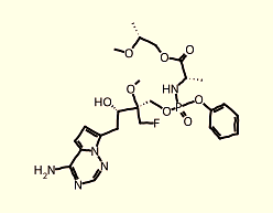 CO[C@H](C)COC(=O)[C@H](C)NP(=O)(OC[C@@](CF)(OC)[C@@H](O)Cc1ccc2c(N)ncnn12)Oc1ccccc1